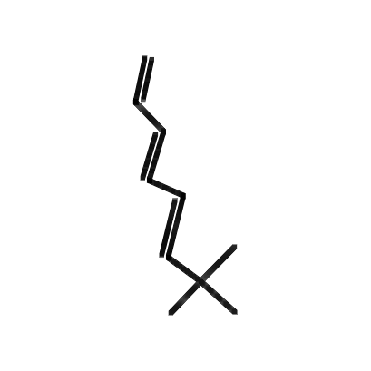 C=C/C=C/C=C/C(C)(C)C